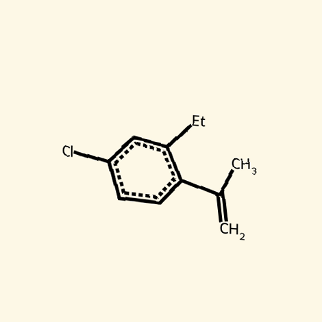 C=C(C)c1ccc(Cl)cc1CC